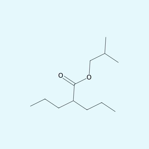 CCCC(CCC)C(=O)OCC(C)C